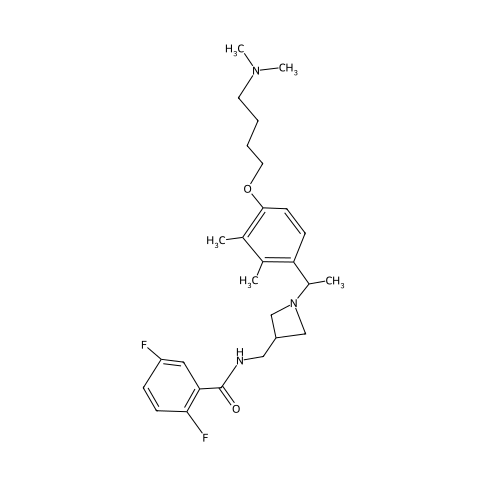 Cc1c(OCCCCN(C)C)ccc(C(C)N2CC(CNC(=O)c3cc(F)ccc3F)C2)c1C